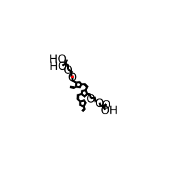 C=CC1CCC(/C=C\C2CC(/C=C\C3CC(C=C)C(COCCOCC(O)CO)C3)C(COCCOCC(=O)O)C2)C1